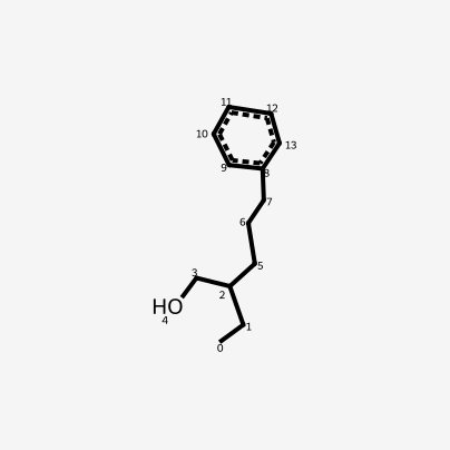 CCC(CO)CCCc1ccccc1